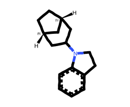 c1ccc2c(c1)CCN2C1C[C@H]2CC[C@@H](C1)C2